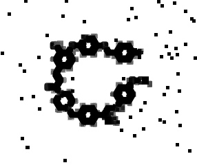 COc1ccc(NCCc2ccc(CN3CCN(C(=O)C=Cc4ccc(Oc5ccc(OCc6ccc(F)cc6)cn5)c(Cl)c4)CC3)cc2)cc1.Cl.Cl